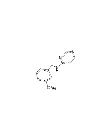 COc1cccc(CNc2ccncn2)c1